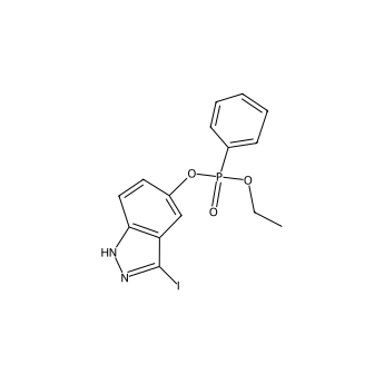 CCOP(=O)(Oc1ccc2[nH]nc(I)c2c1)c1ccccc1